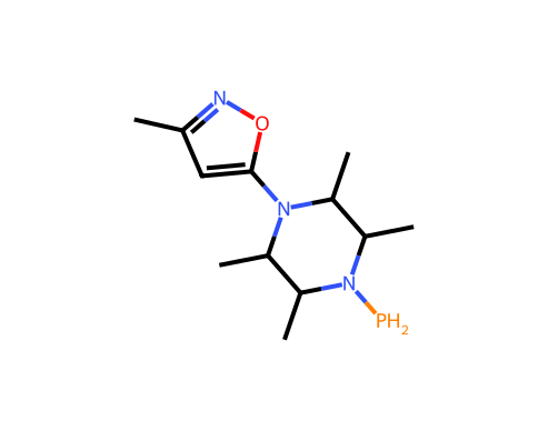 Cc1cc(N2C(C)C(C)N(P)C(C)C2C)on1